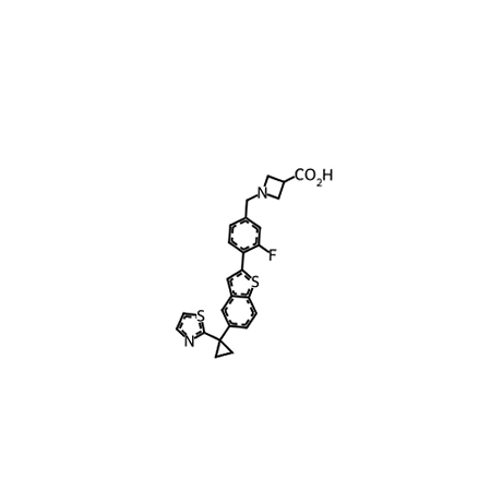 O=C(O)C1CN(Cc2ccc(-c3cc4cc(C5(c6nccs6)CC5)ccc4s3)c(F)c2)C1